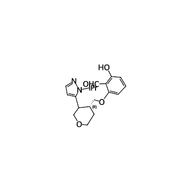 CC(C)n1nccc1C1COCC[C@H]1COc1cccc(O)c1C=O